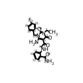 CCn1c(=O)c(C(=O)CNc2ccccc2C(N)=O)c(N)n(Cc2ccc(F)cc2)c1=O